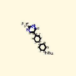 CCCC[C@H]1CC[C@H](C2CCC(c3cnc(C(F)(F)F)nc3)CC2)CC1